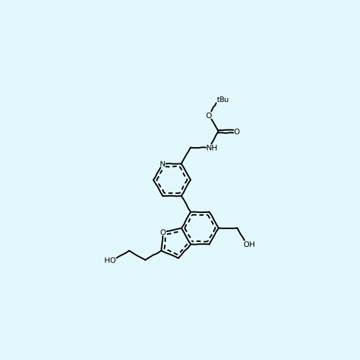 CC(C)(C)OC(=O)NCc1cc(-c2cc(CO)cc3cc(CCO)oc23)ccn1